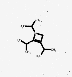 CC(C)C1=C(C(C)C)N(C(C)C)C1